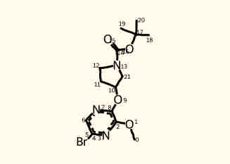 COc1nc(Br)cnc1OC1CCN(C(=O)OC(C)(C)C)C1